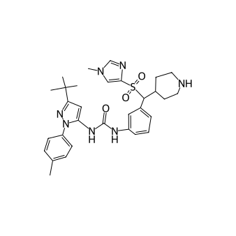 Cc1ccc(-n2nc(C(C)(C)C)cc2NC(=O)Nc2cccc(C(C3CCNCC3)S(=O)(=O)c3cn(C)cn3)c2)cc1